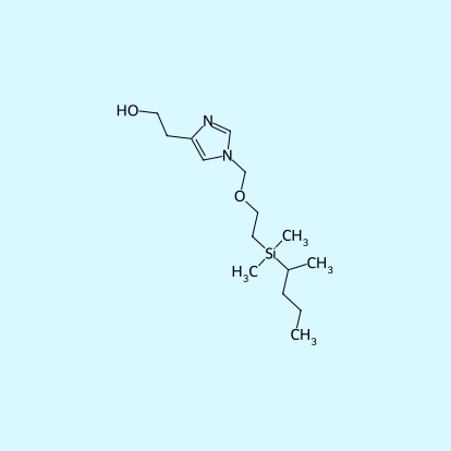 CCCC(C)[Si](C)(C)CCOCn1cnc(CCO)c1